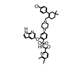 Cc1nc(C(=O)NS(=O)(=O)c2ccc(N3CCN(CC4=C(c5ccc(Cl)cc5)CC(C)(C)CC4)CC3)cc2Oc2cnc3[nH]ccc3c2)ccc1F